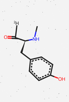 [2H]C(=O)[C@H](Cc1ccc(O)cc1)NC